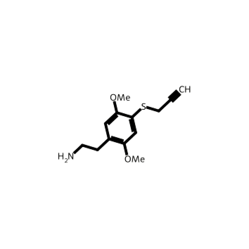 C#CCSc1cc(OC)c(CCN)cc1OC